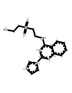 O=S(=O)(CCO)CCNc1nc(-n2ccnc2)nc2ccccc12